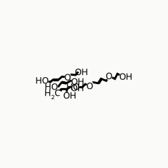 C=CC(O)CO.OCC=CCO.OCC=CCOCCO.OCCOCC=CCOCCO